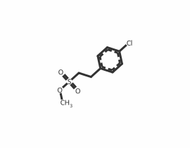 COS(=O)(=O)CCc1ccc(Cl)cc1